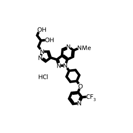 CNc1cc2c(cn1)c(-c1cnn(CC(O)CO)c1)nn2C1CCC(Oc2cccnc2C(F)(F)F)CC1.Cl